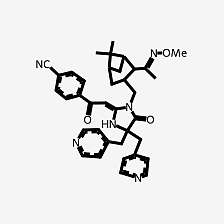 CON=C(C)C1C(CN2C(=O)C(Cc3ccncc3)(Cc3ccncc3)NC2=CC(=O)c2ccc(C#N)cc2)CC2CC1C2(C)C